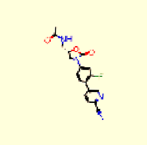 CC(=O)NC[C@H]1CN(c2ccc(-c3ccc(C#N)nc3)c(F)c2)C(=O)O1